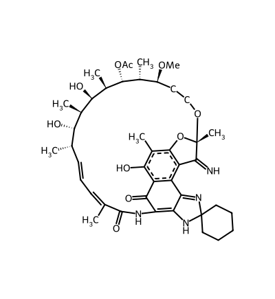 CO[C@H]1CCO[C@@]2(C)Oc3c(C)c(O)c4c(c3C2=N)C2=NC3(CCCCC3)NC2=C(NC(=O)/C(C)=C\C=C\[C@H](C)[C@H](O)[C@@H](C)[C@@H](O)[C@@H](C)[C@H](OC(C)=O)[C@@H]1C)C4=O